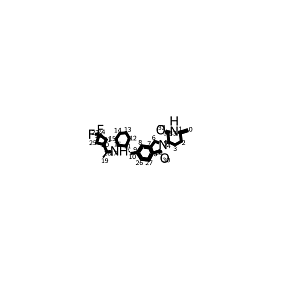 C=C1CCC(N2Cc3cc(C[C@H]4CCCC[C@@H]4N[C@@H](C)C4CC(F)(F)C4)ccc3C2=O)C(=O)N1